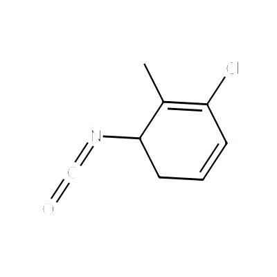 CC1=C(Cl)C=CCC1N=C=O